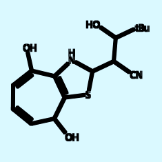 CC(C)(C)C(O)C(C#N)C1NC2=C(S1)C(O)C=CC=C2O